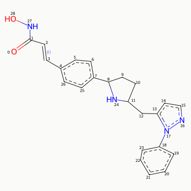 O=C(/C=C/c1ccc(C2CCC(Cc3ccnn3-c3ccccc3)N2)cc1)NO